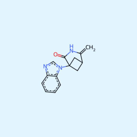 C=C1NC(=O)C2(n3cnc4ccccc43)CC1C2